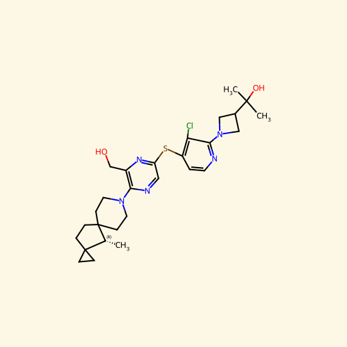 C[C@H]1C2(CCN(c3ncc(Sc4ccnc(N5CC(C(C)(C)O)C5)c4Cl)nc3CO)CC2)CCC12CC2